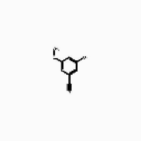 COc1[c]c(O)cc(C#N)c1